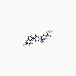 CC1CN(C2(C#N)CCN(C(=O)OC(C)(C)C)CC2)CCN1C1CCc2cc(Br)ccc21